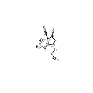 COC[C@H]1CC(=O)[C@](C)(C#N)[C@@H]1OC